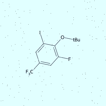 CC(C)(C)Oc1c(F)cc(C(F)(F)F)cc1I